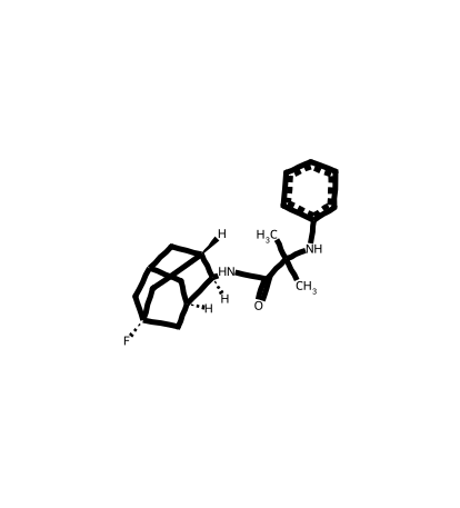 CC(C)(Nc1ccccc1)C(=O)N[C@H]1[C@@H]2CC3C[C@H]1C[C@](F)(C3)C2